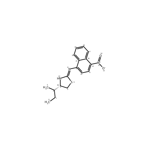 CCC(C)[C@H]1CSC(=Nc2ccc([N+](=O)[O-])c3ccccc23)N1